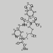 CCC(CCNC(=O)OC(C)(C)C)CCN(C(=O)C(F)(F)F)C(C(=O)NCc1ccncc1)c1ccc2c(c1)OCO2